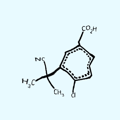 CC(C)(C#N)c1cc(C(=O)O)ccc1Cl